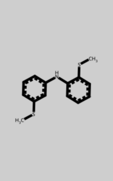 CSc1cccc(Nc2cc[c]cc2SC)c1